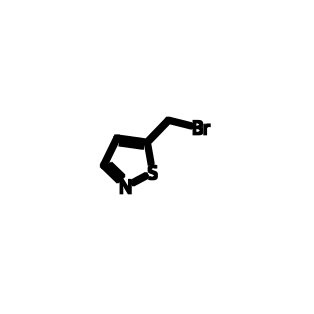 BrCc1ccns1